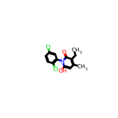 CCc1c(C)cc(O)n(-c2cc(Cl)ccc2Cl)c1=O